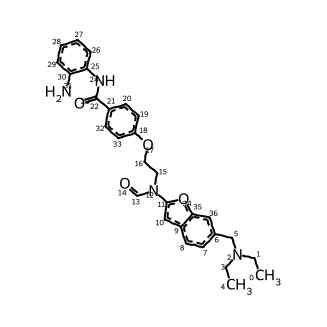 CCN(CC)Cc1ccc2cc(N(C=O)CCOc3ccc(C(=O)Nc4ccccc4N)cc3)oc2c1